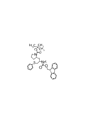 CC(C)(C)OC(=O)N1CCC[C@@H]1C[C@H](CSc1ccccc1)NC(=O)OCC1c2ccccc2-c2ccccc21